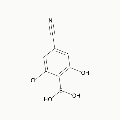 N#Cc1cc(O)c(B(O)O)c(Cl)c1